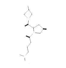 C=C1CC(C(=O)N2CC(O)C2)N(C(=O)CCCN(C)C)C1